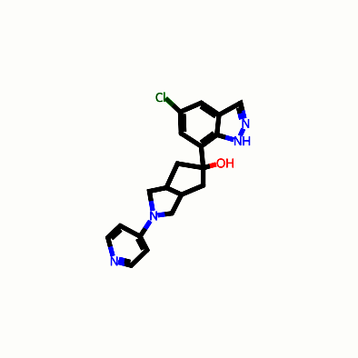 OC1(c2cc(Cl)cc3cn[nH]c23)CC2CN(c3ccncc3)CC2C1